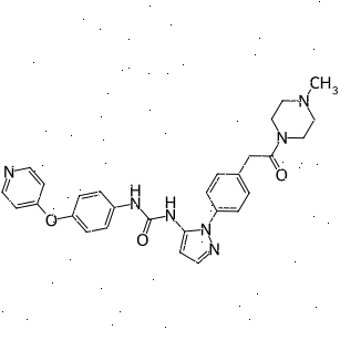 CN1CCN(C(=O)Cc2ccc(-n3nccc3NC(=O)Nc3ccc(Oc4ccncc4)cc3)cc2)CC1